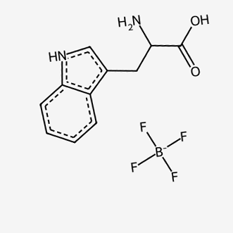 F[B-](F)(F)F.NC(Cc1c[nH]c2ccccc12)C(=O)O